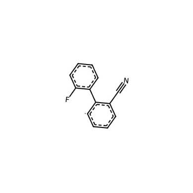 N#Cc1ccc[c]c1-c1ccccc1F